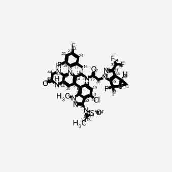 C[C@H]1N(c2nn(C)c3c(-c4cc5c(nc4[C@H](Cc4cc(F)cc(F)c4)NC(=O)Cn4nc(C(F)F)c6c4C(F)(F)C4C[C@H]64)NCC(=O)N5)ccc(Cl)c23)[S+]1[O-]